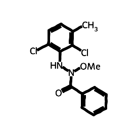 CON(Nc1c(Cl)ccc(C)c1Cl)C(=O)c1ccccc1